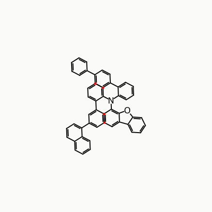 c1ccc(-c2ccc(-c3ccccc3N(c3ccccc3-c3cccc(-c4cccc5ccccc45)c3)c3cccc4c3oc3ccccc34)cc2)cc1